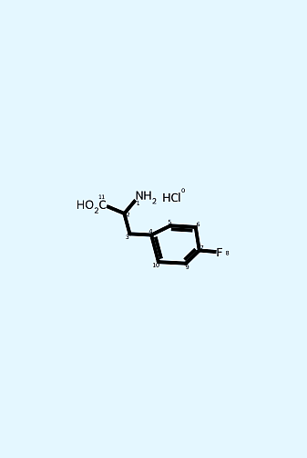 Cl.NC(Cc1ccc(F)cc1)C(=O)O